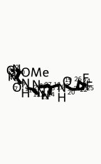 COc1nonc1C(=O)NCc1cn2ncc(CNC(=O)CC3CC(F)(F)C3)cc2n1